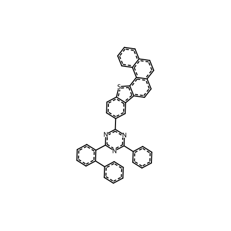 c1ccc(-c2nc(-c3ccc4sc5c(ccc6ccc7ccccc7c65)c4c3)nc(-c3ccccc3-c3ccccc3)n2)cc1